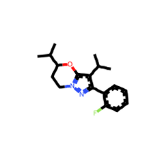 CC(C)c1c(-c2ccccc2F)nn2c1OC(C(C)C)CC2